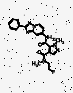 CN(CCF)C(=O)c1cnn([11CH3])c1C(=O)Nc1ccn2nc(-c3ccccc3)nc2c1